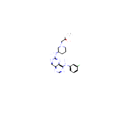 COC(=O)CN1CCCC(Nc2ncc3ncnc(Nc4cccc(Cl)c4)c3n2)C1